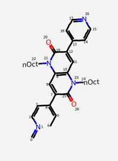 C=N/C=C\C(=C/C)c1cc2c(cc(-c3ccncc3)c(=O)n2CCCCCCCC)n(CCCCCCCC)c1=O